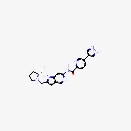 C[C@H]1CCCN1Cc1cc2cnc(NC(=O)c3ccc(-c4cn[nH]c4)cn3)cc2[nH]1